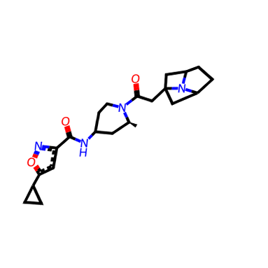 C[C@H]1CC(NC(=O)c2cc(C3CC3)on2)CCN1C(=O)CC12CC3CCC(C1)N32